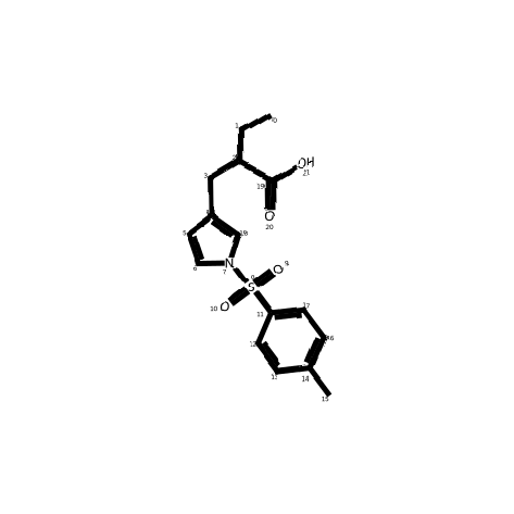 CCC(Cc1ccn(S(=O)(=O)c2ccc(C)cc2)c1)C(=O)O